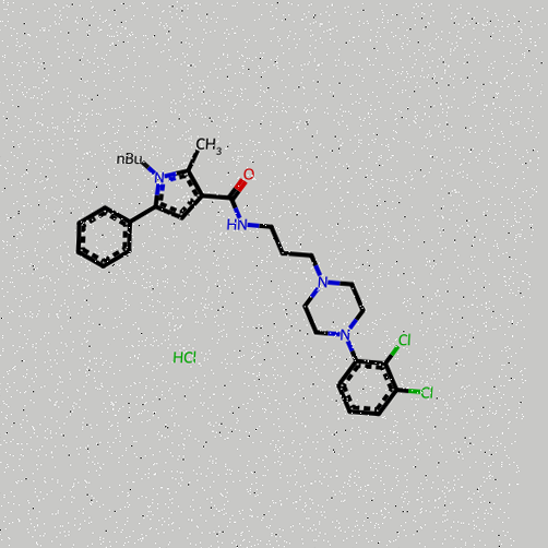 CCCCn1c(-c2ccccc2)cc(C(=O)NCCCN2CCN(c3cccc(Cl)c3Cl)CC2)c1C.Cl